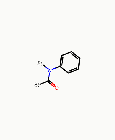 CCC(=O)N(CC)c1ccccc1